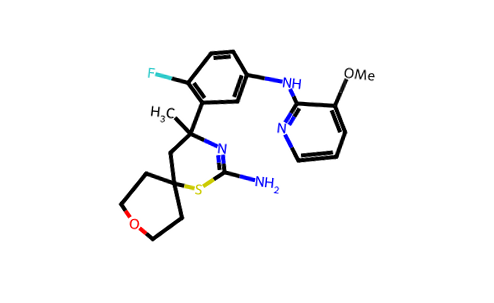 COc1cccnc1Nc1ccc(F)c(C2(C)CC3(CCOCC3)SC(N)=N2)c1